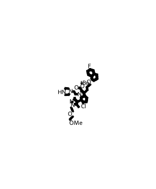 COCCOCCn1nc(C)c(-c2c(Cl)ccc3c(CCCOc4cccc5cc(F)ccc45)c(C(=O)OC(C)(C)C)n(CCN4CCNCC4)c23)c1C